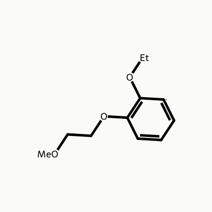 CCOc1[c]cccc1OCCOC